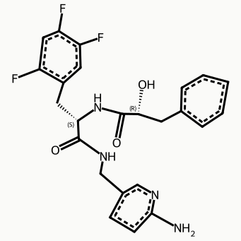 Nc1ccc(CNC(=O)[C@H](Cc2cc(F)c(F)cc2F)NC(=O)[C@H](O)Cc2ccccc2)cn1